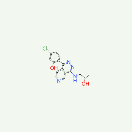 CC(O)CNc1nnc(-c2ccc(Cl)cc2O)c2ccncc12